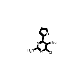 CCCCc1c(Cl)nc(N)nc1-c1ccco1